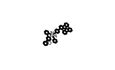 c1ccc(-c2nc(-c3ccc(-c4ccc5c(c4)C4(c6ccccc6-c6ccccc64)c4ccccc4-5)cc3)nc(-c3ccccc3-c3ccc4oc5ccccc5c4c3)n2)cc1